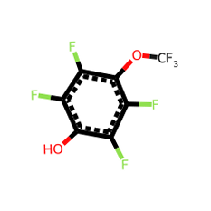 Oc1c(F)c(F)c(OC(F)(F)F)c(F)c1F